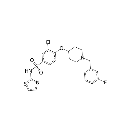 O=S(=O)(Nc1nccs1)c1ccc(OC2CCN(Cc3cccc(F)c3)CC2)c(Cl)c1